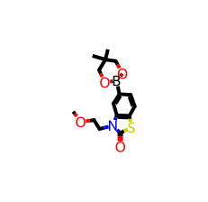 COCCn1c(=O)sc2ccc(B3OCC(C)(C)CO3)cc21